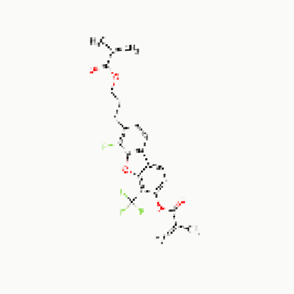 C=C(C)C(=O)OCCCc1ccc2c(oc3c(C(F)(F)F)c(OC(=O)C(=C)C)ccc32)c1F